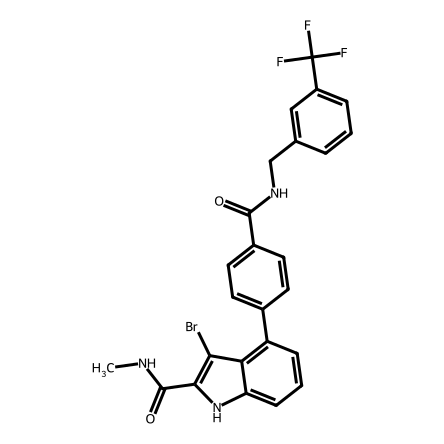 CNC(=O)c1[nH]c2cccc(-c3ccc(C(=O)NCc4cccc(C(F)(F)F)c4)cc3)c2c1Br